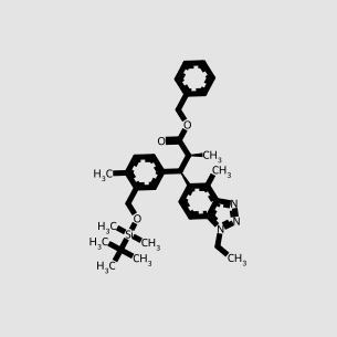 CCn1nnc2c(C)c([C@@H](c3ccc(C)c(CO[Si](C)(C)C(C)(C)C)c3)[C@H](C)C(=O)OCc3ccccc3)ccc21